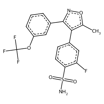 Cc1onc(-c2cccc(OC(F)(F)F)c2)c1-c1ccc(S(N)(=O)=O)c(F)c1